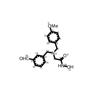 COc1ccc(CN(CC(=O)NO)Cc2cccc(C=O)c2)cc1